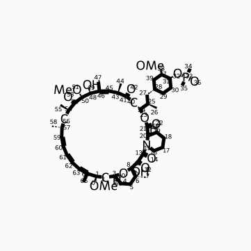 CO[C@@H]1C[C@H]2CC[C@@H](C)[C@@](O)(O2)C(=O)C(=O)N2CCCC[C@@H]2C(=O)O[C@@H]([C@H](C)C[C@H]2CC[C@@H](OP(C)(C)=O)[C@H](OC)C2)CC(=O)[C@H](C)/C=C(/C)[C@@H](O)[C@@H](OC)C(=O)[C@H](C)C[C@@H](C)\C=C/C=C\C=C/1C